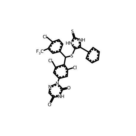 O=c1cnn(-c2cc(Cl)c(C(Sc3[nH]c(=S)[nH]c3-c3ccccc3)c3ccc(Cl)c(C(F)(F)F)c3)c(Cl)c2)c(=O)[nH]1